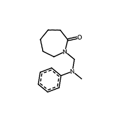 CN(CN1CCCCCC1=O)c1ccccc1